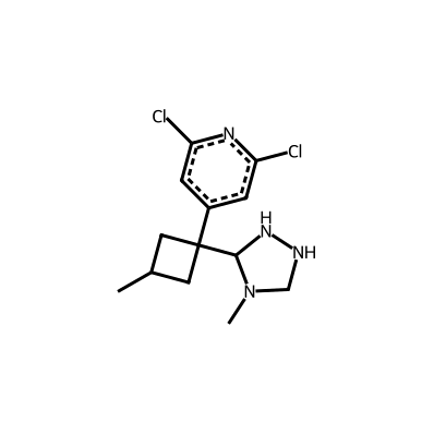 CC1CC(c2cc(Cl)nc(Cl)c2)(C2NNCN2C)C1